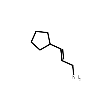 NCC=CC1CCCC1